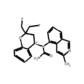 Cc1cc2c(N(C(N)=O)[C@@H]3CC(CF)(CF)Oc4ccccc43)cccc2cn1